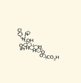 CC(C)C1=C2[C@H]3CC[C@@H]4[C@@]5(C)CC[C@H](OC(=O)CC(C)(C)C(=O)O)C(C)(C)[C@@H]5CC[C@@]4(C)[C@]3(C)CCC2(C(O)CN(CCN2CCCC2)Cc2ccc(Cl)cc2)CC1=O